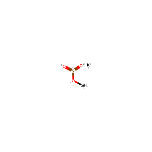 O=[S-](=O)O[SiH3].[K+]